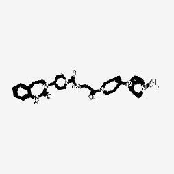 CN1CC2CC1CN2C1CCN(C(=O)CNC(=O)N2CCC(N3CCc4ccccc4NC3=O)CC2)CC1